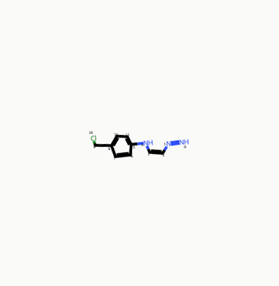 N=N/C=C\Nc1ccc(CCl)cc1